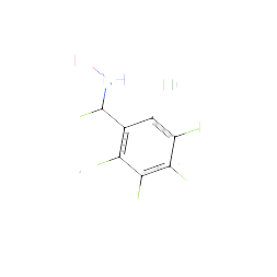 Cl.ONC(F)c1cc(F)c(F)c(F)c1F